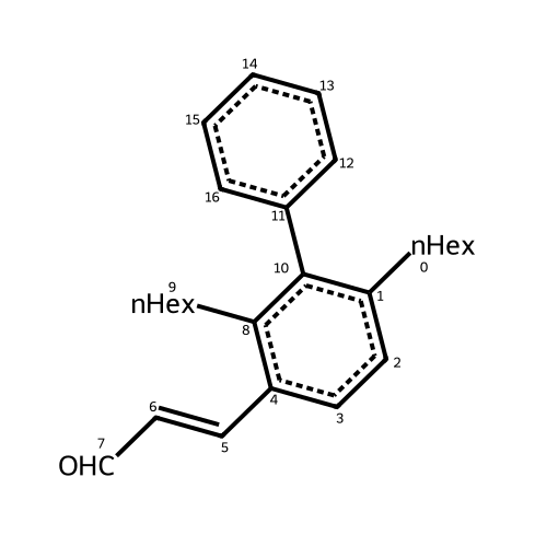 CCCCCCc1ccc(C=CC=O)c(CCCCCC)c1-c1ccccc1